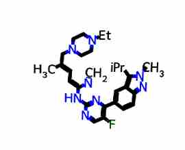 C=N/C(=C\C=C(/C)CN1CCN(CC)CC1)Nc1ncc(F)c(-c2ccc3nn(C)c(C(C)C)c3c2)n1